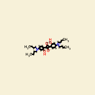 CCCCN(CCCC)c1ccc(C2=C([O-])/C(=C3\C=CC(=[N+](CCCC)CCCC)C=C3O)C2=O)c(O)c1